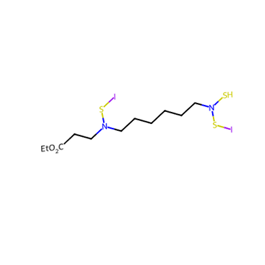 CCOC(=O)CCN(CCCCCCN(S)SI)SI